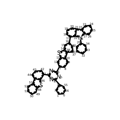 c1ccc(-c2nc(-c3ccc4c(c3)sc3cc(-c5cccc6c7ccccc7n(-c7ccccc7)c56)ccc34)nc(-c3cccc4c3sc3ccccc34)n2)cc1